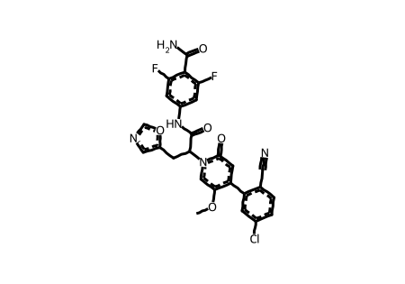 COc1cn(C(Cc2cnco2)C(=O)Nc2cc(F)c(C(N)=O)c(F)c2)c(=O)cc1-c1cc(Cl)ccc1C#N